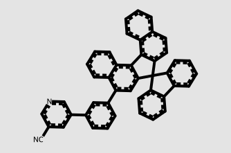 N#Cc1cncc(-c2cccc(-c3cc4c(c5ccccc35)-c3c(ccc5ccccc35)C43c4ccccc4-c4ccccc43)c2)c1